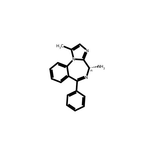 Cc1cnc2n1-c1ccccc1C(c1ccccc1)=N[C@H]2N